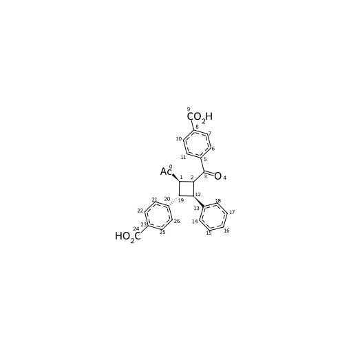 CC(=O)[C@H]1C(C(=O)c2ccc(C(=O)O)cc2)[C@@H](c2ccccc2)[C@@H]1c1ccc(C(=O)O)cc1